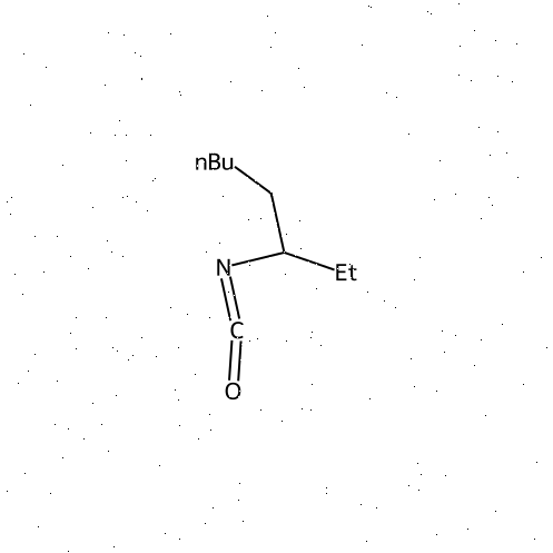 CCCCCC(CC)N=C=O